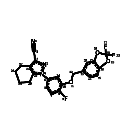 N#Cc1nn(-c2ccc(F)c(OCc3ccc4c(c3)OC(F)(F)O4)c2)c2c1CCCC2